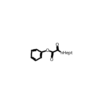 CCCCCCCC(=O)C(=O)Oc1ccccc1